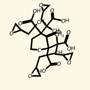 CC(CC1CO1)(C(=O)O)C1(C(C)(CC2CO2)C(=O)O)CCCC(C(C)(CC2CO2)C(=O)O)(C(C)(CC2CO2)C(=O)O)C1=O